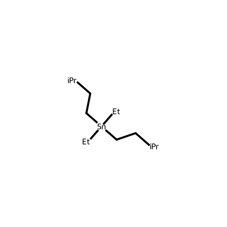 C[CH2][Sn]([CH2]C)([CH2]CC(C)C)[CH2]CC(C)C